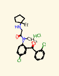 CCC1(NCC(=O)N(C)c2ccc(Cl)cc2C(=O)c2ccccc2Cl)CCCC1.Cl